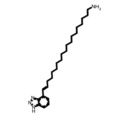 NCCCCCCCCCCCCCCCCCC=Cc1cccc2[nH]nnc12